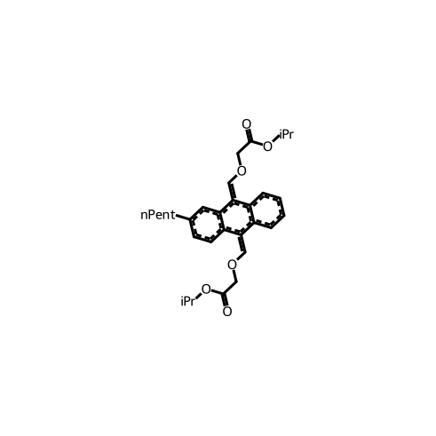 CCCCCc1ccc2c(=COCC(=O)OC(C)C)c3ccccc3c(=COCC(=O)OC(C)C)c2c1